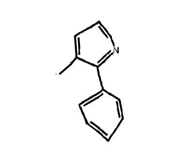 [CH2]c1cccnc1-c1ccccc1